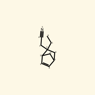 CCC1(CC#N)CC2C=CC1C2